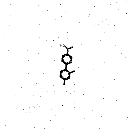 Cc1ccc(-c2ccc(C(C)O)cc2)c(C)c1